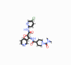 CN(C)C(=O)N1CCC(C(=O)Nc2c(C(=O)Nc3ccc(Cl)cn3)oc3ccncc23)CC1